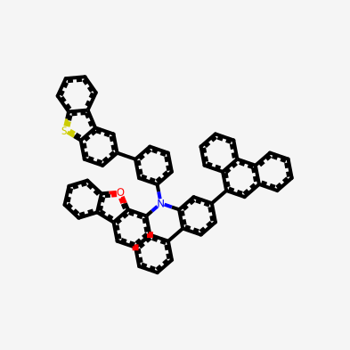 c1ccc(-c2ccc(-c3cc4ccccc4c4ccccc34)cc2N(c2cccc(-c3ccc4sc5ccccc5c4c3)c2)c2cccc3c2oc2ccccc23)cc1